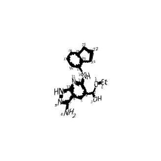 CCOC(O)c1cc2c(N)n[nH]c2nc1Nc1cccc2c1CCC2